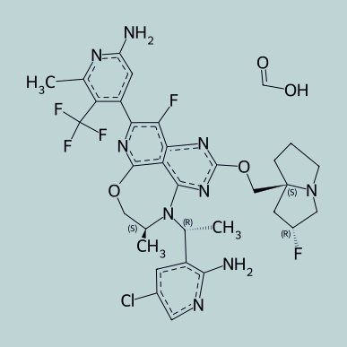 Cc1nc(N)cc(-c2nc3c4c(nc(OC[C@@]56CCCN5C[C@H](F)C6)nc4c2F)N([C@H](C)c2cc(Cl)cnc2N)[C@@H](C)CO3)c1C(F)(F)F.O=CO